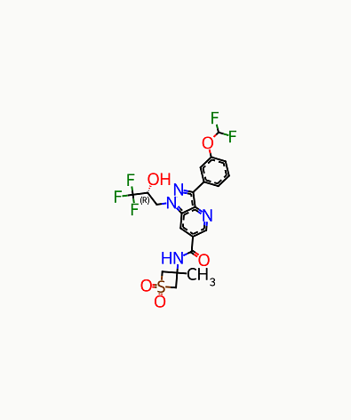 CC1(NC(=O)c2cnc3c(-c4cccc(OC(F)F)c4)nn(C[C@@H](O)C(F)(F)F)c3c2)CS(=O)(=O)C1